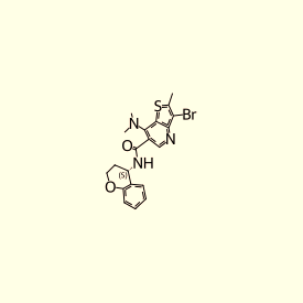 Cc1sc2c(N(C)C)c(C(=O)N[C@H]3CCOc4ccccc43)cnc2c1Br